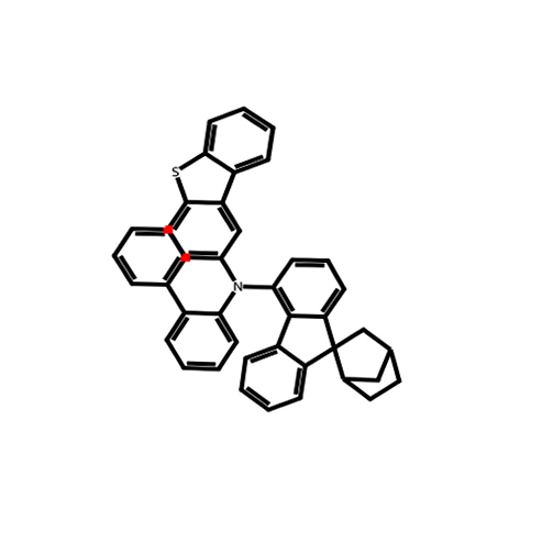 c1ccc(-c2ccccc2N(c2ccc3sc4ccccc4c3c2)c2cccc3c2-c2ccccc2C32CC3CCC2C3)cc1